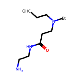 CCN(CCC=O)CCC(=O)NCCN